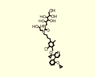 Cc1cc(COC2(c3cnccc3-c3ccccc3OC3CC3)CC2)c(Cl)cc1CCCCN(CCO)C(=O)NCC(O)C(O)C(O)C(O)CO